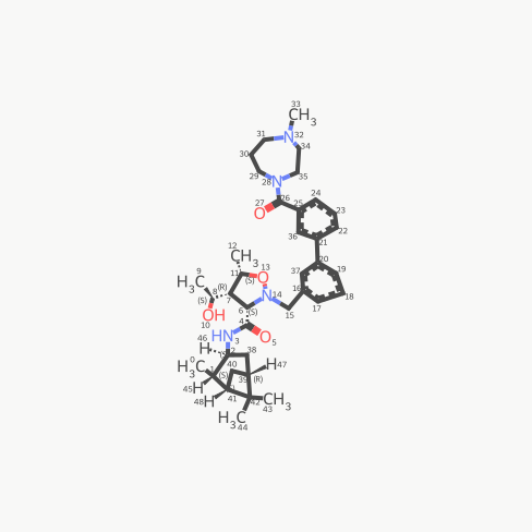 C[C@@H]1[C@@H](NC(=O)[C@@H]2[C@H]([C@H](C)O)[C@H](C)ON2Cc2cccc(-c3cccc(C(=O)N4CCCN(C)CC4)c3)c2)C[C@H]2C[C@@H]1C2(C)C